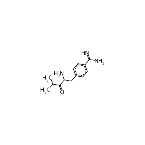 CC(C)C(=O)C(N)Cc1ccc(C(=N)N)cc1